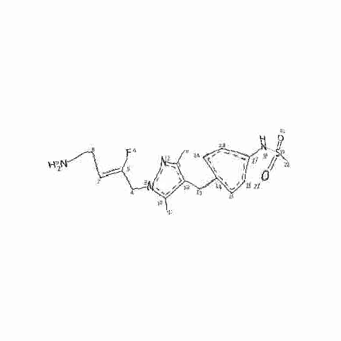 Cc1nn(C/C(F)=C/CN)c(C)c1Cc1ccc(NS(C)(=O)=O)cc1